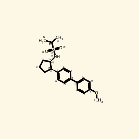 COc1ccc(-c2ccc([C@H]3CCC[C@H]3NS(=O)(=O)C(C)C)cc2)cc1